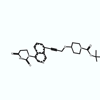 CC(C)(C)OC(=O)N1CCC(OCC#Cc2cccc3c(N4CCC(=O)NC4=O)cncc23)CC1